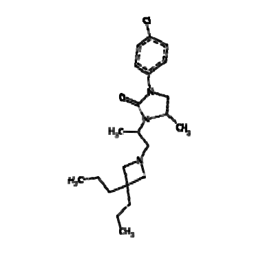 CCCC1(CCC)CN(CC(C)N2C(=O)N(c3ccc(Cl)cc3)CC2C)C1